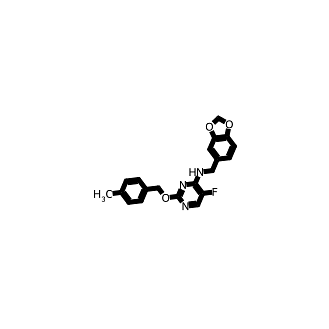 Cc1ccc(COc2ncc(F)c(NCc3ccc4c(c3)OCO4)n2)cc1